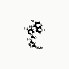 CC[C@@H]1CN(C(=O)Nc2nc(OC)ns2)C[C@@H]1Nc1c(C#N)cnc2[nH]ccc12